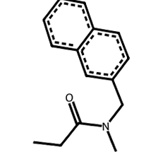 CCC(=O)N(C)Cc1ccc2ccccc2c1